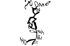 CC[C@@H](CO)NC(=O)Nc1cc2cc(-c3cnc(OC)c(OC(F)F)c3)ccn2n1